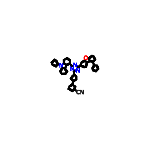 N#Cc1cccc(-c2ccc(-c3nc(-c4ccc5c(c4)oc4cccc(-c6ccccc6)c45)nc(-c4cccc5c4c4ccccc4n5-c4ccccc4)n3)cc2)c1